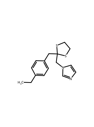 CCc1ccc(CC2(Cn3ccnc3)SCCS2)cc1